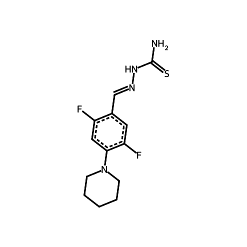 NC(=S)NN=Cc1cc(F)c(N2CCCCC2)cc1F